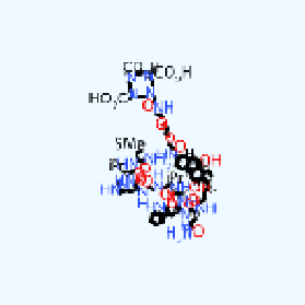 CSCC[C@H](NC(=O)[C@H](CC(C)C)NC(=O)[C@H](Cc1c[nH]cn1)NC(=O)CNC(=O)[C@@H](NC(=O)[C@H](C)NC(=O)[C@H](Cc1c[nH]c2ccccc12)NC(=O)[C@H](CCC(N)=O)NC(=O)CC[C@@H](C)[C@H]1CC[C@H]2[C@@H]3[C@H](O)C[C@@H]4C[C@@H](NC(=O)COCCOCCNC(=O)CN5CCN(CC(=O)O)CCN(CC(=O)O)CCN(CC(=O)O)CC5)CC[C@]4(C)[C@H]3C[C@H](O)[C@]12C)C(C)C)C(N)=O